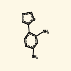 Bc1ccc(-c2ccco2)c(N)c1